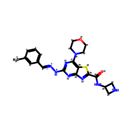 Cc1cccc(/C=N/Nc2nc(N3CCOCC3)c3sc(C(=O)NC4CNC4)nc3n2)c1